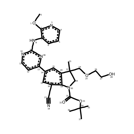 COc1ncccc1Nc1nccc(-c2cc(C#N)c3c(c2)C(C)(COCCO)CN3C(=O)OC(C)(C)C)n1